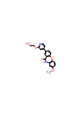 O=C1Nc2cc(OC(F)(F)F)ccc2Oc2ccc(-c3ccnc(OCCO)c3)cc21